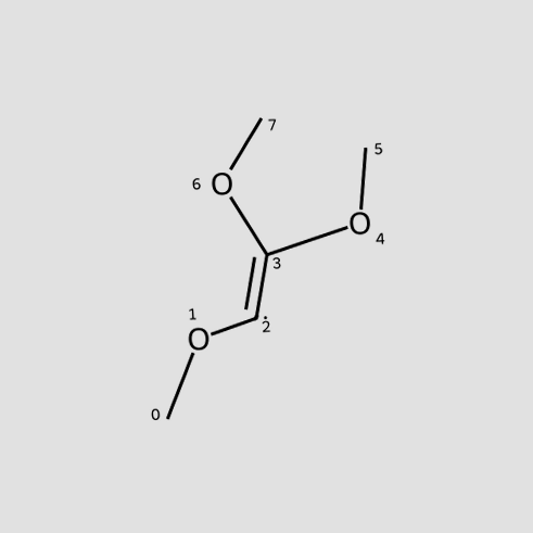 CO[C]=C(OC)OC